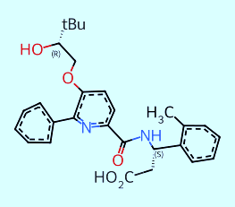 Cc1ccccc1[C@H](CC(=O)O)NC(=O)c1ccc(OC[C@H](O)C(C)(C)C)c(-c2ccccc2)n1